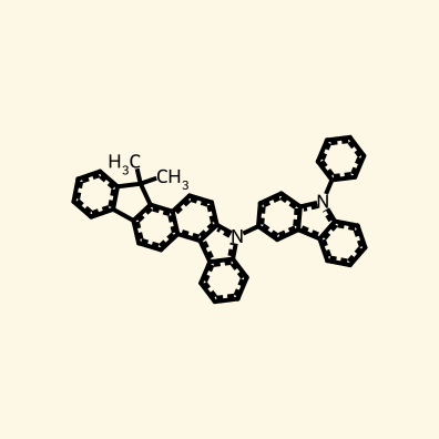 CC1(C)c2ccccc2-c2ccc3c(ccc4c3c3ccccc3n4-c3ccc4c(c3)c3ccccc3n4-c3ccccc3)c21